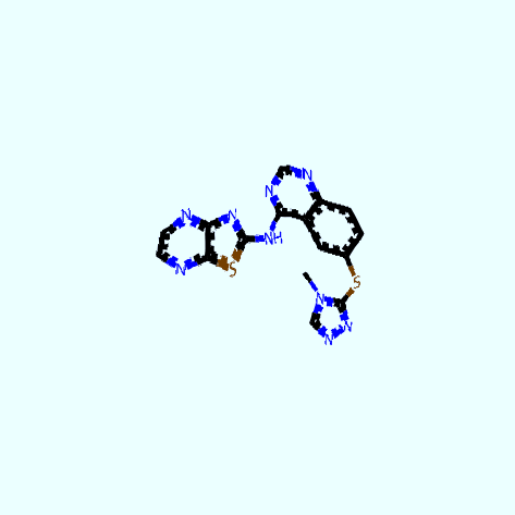 Cn1cnnc1Sc1ccc2ncnc(Nc3nc4nccnc4s3)c2c1